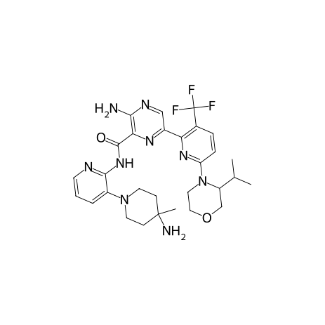 CC(C)C1COCCN1c1ccc(C(F)(F)F)c(-c2cnc(N)c(C(=O)Nc3ncccc3N3CCC(C)(N)CC3)n2)n1